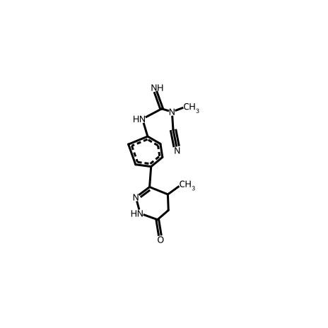 CC1CC(=O)NN=C1c1ccc(NC(=N)N(C)C#N)cc1